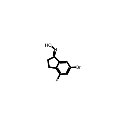 ON=C1CCc2c(F)cc(Br)cc21